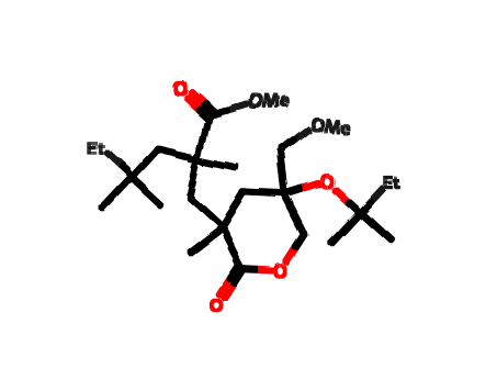 CCC(C)(C)CC(C)(CC1(C)CC(COC)(OC(C)(C)CC)COC1=O)C(=O)OC